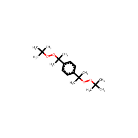 CC(C)(C)OOC(C)(C)c1ccc(C(C)(C)OOC(C)(C)C)cc1